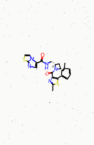 Cc1cccc(-c2sc(C)nc2C(=O)N2CC[C@H]2CNC(=O)c2cnc3sccn23)c1